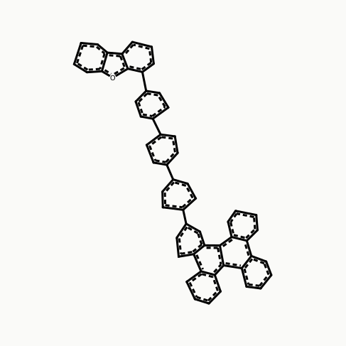 c1ccc2c(c1)oc1c(-c3ccc(-c4ccc(-c5ccc(-c6ccc7c8ccccc8c8c9ccccc9c9ccccc9c8c7c6)cc5)cc4)cc3)cccc12